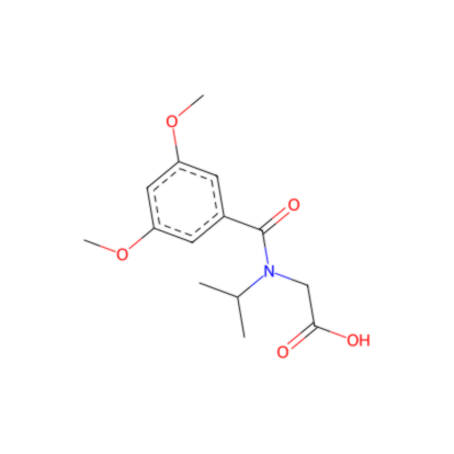 COc1cc(OC)cc(C(=O)N(CC(=O)O)C(C)C)c1